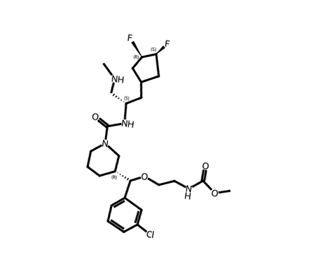 CNC[C@H](CC1C[C@@H](F)[C@@H](F)C1)NC(=O)N1CCC[C@@H](C(OCCNC(=O)OC)c2cccc(Cl)c2)C1